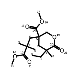 CCC1(C)CC(CC(C)(C)C(=O)OC)(C(=O)OC)COC1=O